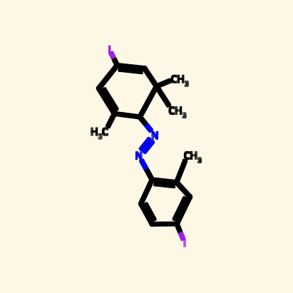 CC1=CC(I)=CC(C)(C)C1N=Nc1ccc(I)cc1C